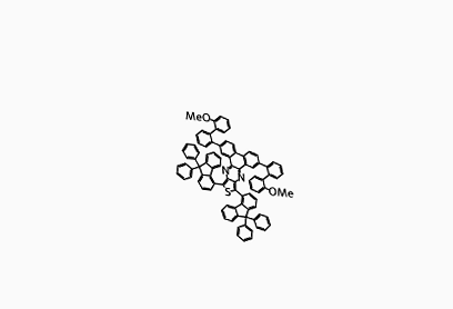 COc1ccccc1-c1ccccc1-c1ccc2c3ccc(-c4ccccc4-c4ccccc4OC)cc3c3nc4c(-c5cccc6c5-c5ccccc5C6(c5ccccc5)c5ccccc5)sc(-c5cccc6c5-c5ccccc5C6(c5ccccc5)c5ccccc5)c4nc3c2c1